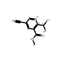 COC(=O)c1cc(C#N)cnc1C(F)F